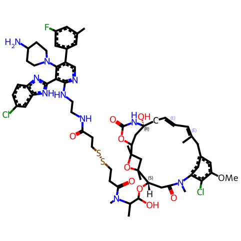 COc1cc2cc(c1Cl)N(C)C(=O)C[C@H](OC(O)C(C)N(C)C(=O)CCSSCCC(=O)NCCNc1ncc(-c3cc(C)cc(F)c3)c(N3CCC(N)CC3)c1-c1nc3ccc(Cl)cc3[nH]1)C1(C)CC(C)(O1)C1C[C@](O)(C/C=C/C=C(\C)C2)NC(=O)O1